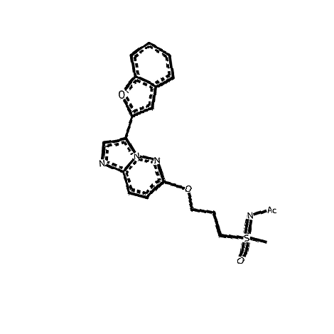 CC(=O)N=S(C)(=O)CCCOc1ccc2ncc(-c3cc4ccccc4o3)n2n1